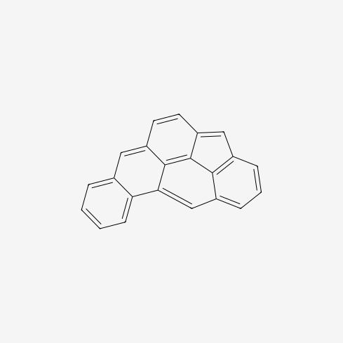 C1=c2ccc3cc4ccccc4c4cc5cccc1c5c2c34